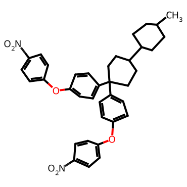 CC1CCC(C2CCC(c3ccc(Oc4ccc([N+](=O)[O-])cc4)cc3)(c3ccc(Oc4ccc([N+](=O)[O-])cc4)cc3)CC2)CC1